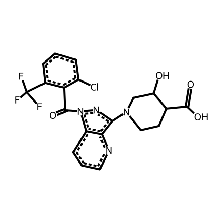 O=C(O)C1CCN(c2nn(C(=O)c3c(Cl)cccc3C(F)(F)F)c3cccnc23)CC1O